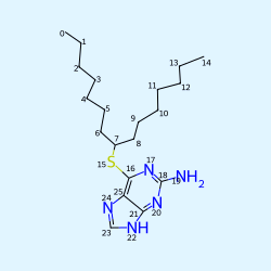 CCCCCCCC(CCCCCCC)Sc1nc(N)nc2[nH]cnc12